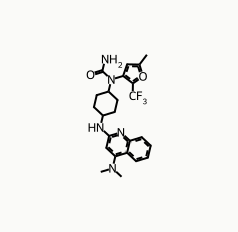 Cc1cc(N(C(N)=O)C2CCC(Nc3cc(N(C)C)c4ccccc4n3)CC2)c(C(F)(F)F)o1